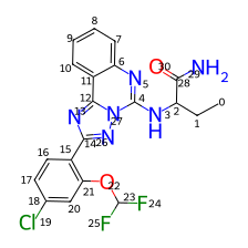 CCC(Nc1nc2ccccc2c2nc(-c3ccc(Cl)cc3OC(F)F)nn12)C(N)=O